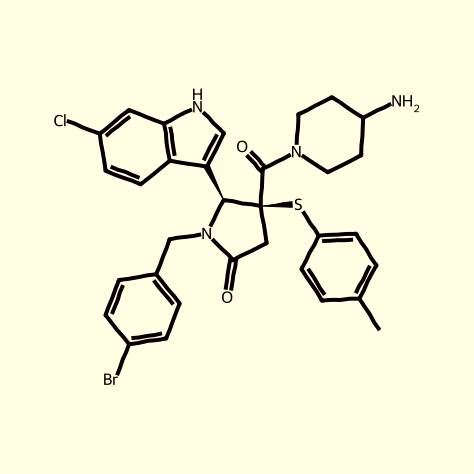 Cc1ccc(S[C@@]2(C(=O)N3CCC(N)CC3)CC(=O)N(Cc3ccc(Br)cc3)[C@H]2c2c[nH]c3cc(Cl)ccc23)cc1